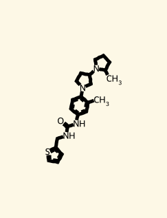 Cc1cc(NC(=O)NCc2cccs2)ccc1N1CCC(N2CCCC2C)C1